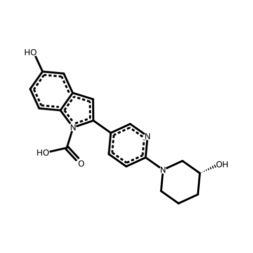 O=C(O)n1c(-c2ccc(N3CCC[C@@H](O)C3)nc2)cc2cc(O)ccc21